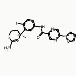 C[C@@]1(c2cc(NC(=O)c3cnc(-n4cccn4)cn3)ccc2F)CCSC(N)=N1